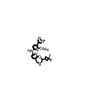 COc1nc(Nc2ccc3c(n2)OC(C2CC(F)(F)C2)CN(C)C3)ccc1-c1cnn(C)c1